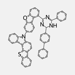 c1ccc(C2=NC(c3cccc4oc5cc(-n6c7ccccc7c7c8sc9ccccc9c8ccc76)ccc5c34)=NC(c3ccc(-c4ccccc4)cc3)N2)cc1